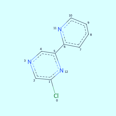 Clc1cncc(-c2ccccn2)n1